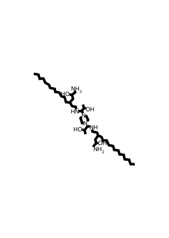 CCCCCCCCCCCCCC(CCNC(C(C)O)N1CCN(C(NCCC(CCCCCCCCCCCCC)CC(O)CN)C(C)O)CC1)CC(O)CN